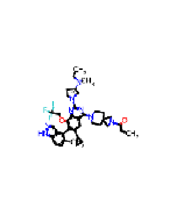 C=CC(=O)N1CC2(CCN(c3nc(N4CC[C@@H](N(C)CC)C4)nc4c(OCC(F)(F)F)c(-c5c(C)ccc6[nH]ncc56)c(C5CC5)cc34)CC2)C1